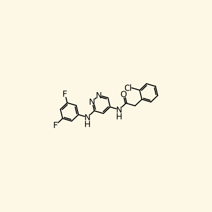 O=C(Cc1ccccc1Cl)Nc1cnnc(Nc2cc(F)cc(F)c2)c1